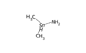 [CH3][SnH]([CH3])[NH2]